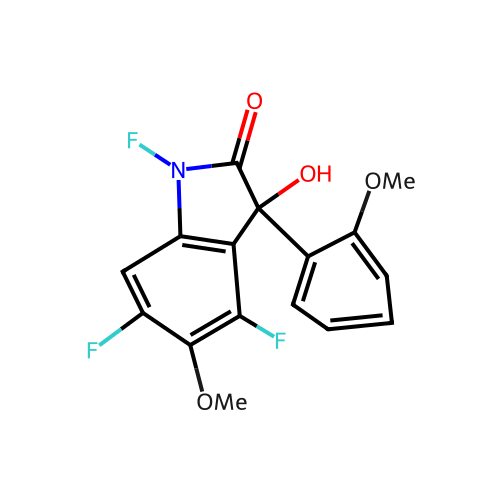 COc1ccccc1C1(O)C(=O)N(F)c2cc(F)c(OC)c(F)c21